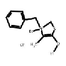 CCOC1=C(C)[N+](CC)(Cc2ccccc2)CS1.[Cl-]